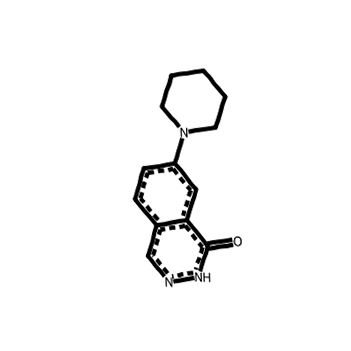 O=c1[nH]ncc2ccc(N3CCCCC3)cc12